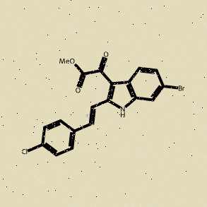 COC(=O)C(=O)c1c(/C=C/c2ccc(Cl)cc2)[nH]c2cc(Br)ccc12